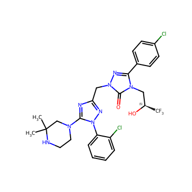 CC1(C)CN(c2nc(Cn3nc(-c4ccc(Cl)cc4)n(C[C@H](O)C(F)(F)F)c3=O)nn2-c2ccccc2Cl)CCN1